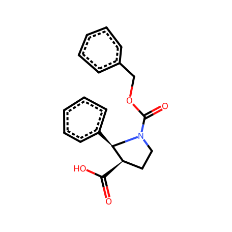 O=C(O)[C@@H]1CCN(C(=O)OCc2ccccc2)[C@@H]1c1ccccc1